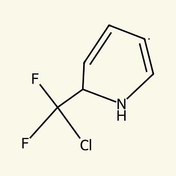 FC(F)(Cl)C1C=C[C]=CN1